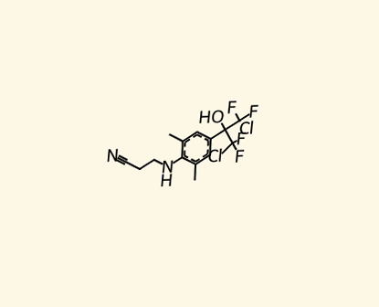 Cc1cc(C(O)(C(F)(F)Cl)C(F)(F)Cl)cc(C)c1NCCC#N